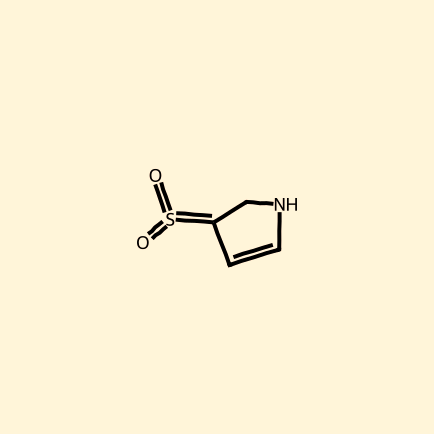 O=S(=O)=C1C=CNC1